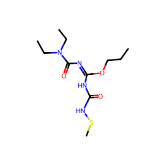 CCCOC(=NC(=O)N(CC)CC)NC(=O)NSC